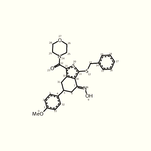 COc1ccc(C2CC(=NO)c3c(SCc4ccccc4)sc(C(=O)N4CCOCC4)c3C2)cc1